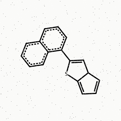 C1=CC2C=C(c3cccc4ccccc34)SC2=C1